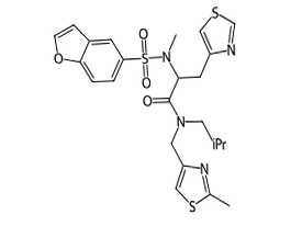 Cc1nc(CN(CC(C)C)C(=O)C(Cc2cscn2)N(C)S(=O)(=O)c2ccc3occc3c2)cs1